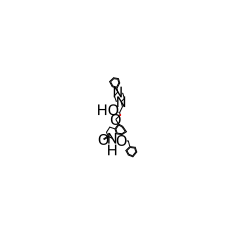 O=C1CCc2c(OCC(O)CN3CCN(c4ccccc4)CC3)ccc(OCc3ccccc3)c2N1